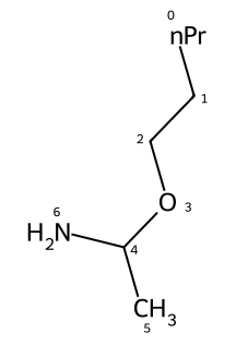 CCCCCOC(C)N